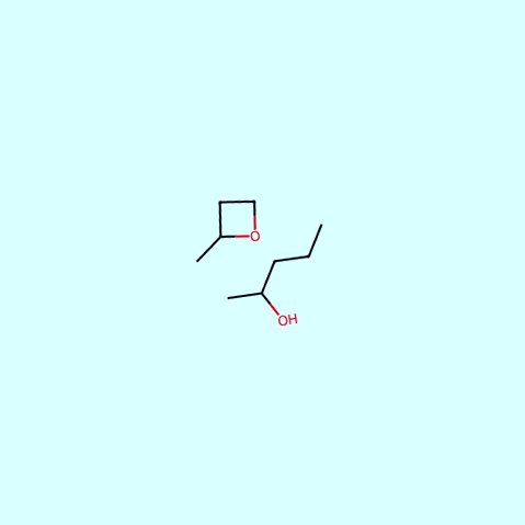 CC1CCO1.CCCC(C)O